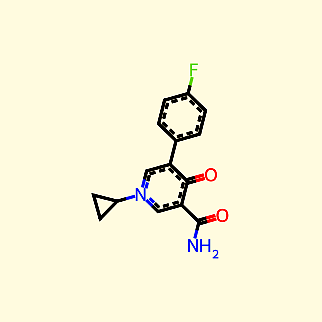 NC(=O)c1cn(C2CC2)cc(-c2ccc(F)cc2)c1=O